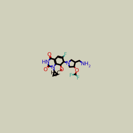 COC1c2c(c(=O)[nH]c(=O)n2C2CC2)C=C(F)C1N1CC(CN)C(OC(F)F)C1